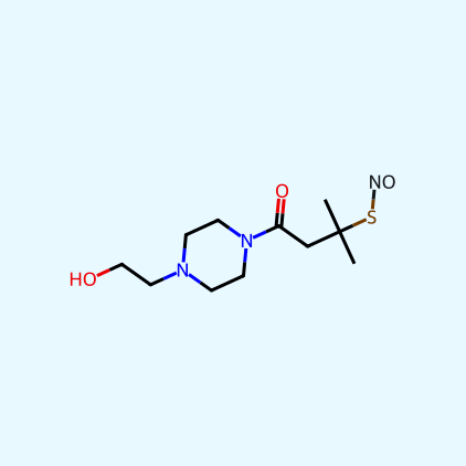 CC(C)(CC(=O)N1CCN(CCO)CC1)SN=O